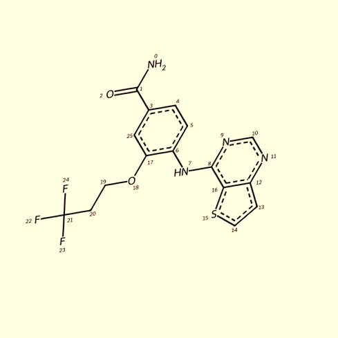 NC(=O)c1ccc(Nc2ncnc3ccsc23)c(OCCC(F)(F)F)c1